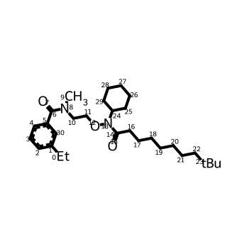 CCc1cccc(C(=O)N(C)CCON(C(=O)CCCCCCCC(C)(C)C)C2CCCCC2)c1